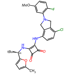 COc1ccc(F)c(N2Cc3c(Cl)ccc(Nc4c(N[C@@H](c5ccc(C)o5)C(C)(C)C)c(=O)c4=O)c3C2)c1